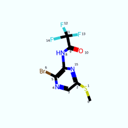 CSc1cnc(Br)c(NC(=O)C(F)(F)F)n1